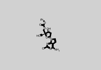 C#C[C@]1(COC(=O)OC(C)C)O[C@@H](n2ccc3c(N)nc(Cl)nc32)C[C@@H]1O